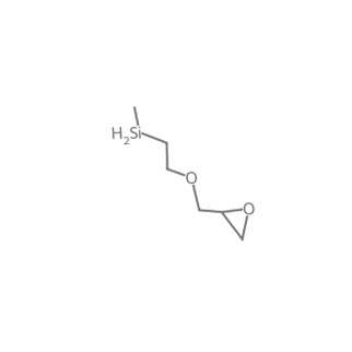 C[SiH2]CCOCC1CO1